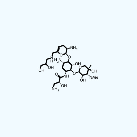 CN[C@@H]1[C@@H](O)[C@@H](O[C@@H]2[C@@H](O)[C@H](O[C@H]3OC(CNCC(O)CO)=CC[C@H]3N)[C@@H](N)C[C@H]2NC(=O)[C@H](O)CN)OC[C@]1(C)O